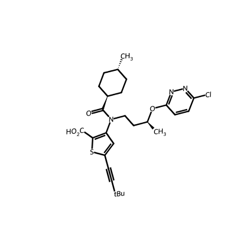 C[C@@H](CCN(c1cc(C#CC(C)(C)C)sc1C(=O)O)C(=O)[C@H]1CC[C@H](C)CC1)Oc1ccc(Cl)nn1